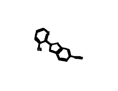 COc1ccc2c(c1)CN(c1ncccc1C#N)C2